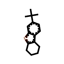 CC(C)(C)c1ccc2c3c(sc2c1)CCCC3